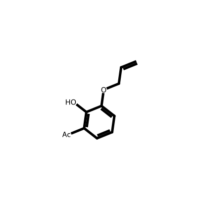 C=CCOc1cccc(C(C)=O)c1O